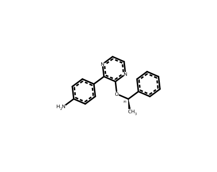 C[C@@H](Oc1nccnc1-c1ccc(N)cc1)c1ccccc1